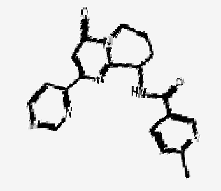 Cc1ccc(C(=O)NC2CCCn3c2nc(-c2ccncn2)cc3=O)cn1